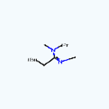 C/N=C(/CC(C)(C)C)N(C)C(C)C